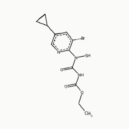 CCOC(=O)NC(=O)N(S)c1ncc(C2CC2)cc1Br